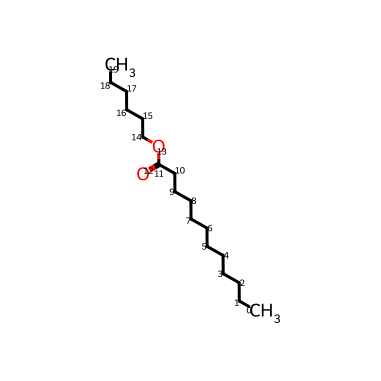 CCCCCCCCCCCC(=O)OCCCCCC